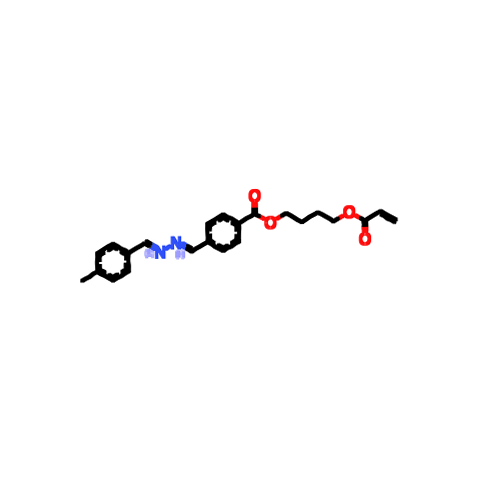 C=CC(=O)OCCCCOC(=O)c1ccc(/C=N/N=C/c2ccc(C)cc2)cc1